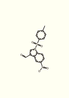 Cc1ccc(S(=O)(=O)n2cc(C=O)c3cc([N+](=O)[O-])ccc32)cc1